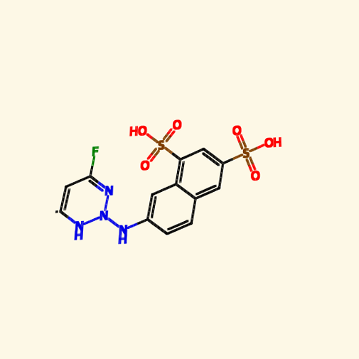 O=S(=O)(O)c1cc(S(=O)(=O)O)c2cc(NN3N=C(F)C=[C]N3)ccc2c1